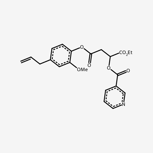 C=CCc1ccc(OC(=O)CC(OC(=O)c2cccnc2)C(=O)OCC)c(OC)c1